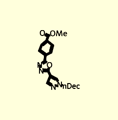 CCCCCCCCCCn1cc(-c2nnc(-c3ccc(C(=O)OC)cc3)o2)cn1